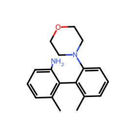 Cc1cccc(N)c1-c1c(C)cccc1N1CCOCC1